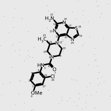 COc1ccc(NC(=O)N2CCN(c3nc(N)nc4scnc34)C(C)C2)c(Cl)c1